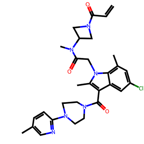 C=CC(=O)N1CC(N(C)C(=O)Cn2c(C)c(C(=O)N3CCN(c4ccc(C)cn4)CC3)c3cc(Cl)cc(C)c32)C1